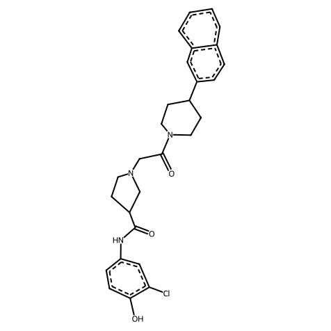 O=C(Nc1ccc(O)c(Cl)c1)C1CCN(CC(=O)N2CCC(c3ccc4ccccc4c3)CC2)C1